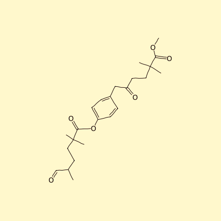 COC(=O)C(C)(C)CCC(=O)Cc1ccc(OC(=O)C(C)(C)CCC(C)C=O)cc1